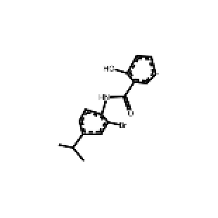 CC(C)c1ccc(NC(=O)c2c[c]ccc2O)c(Br)c1